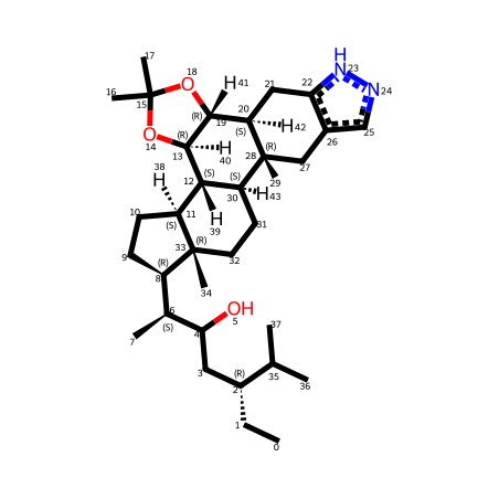 CC[C@H](CC(O)[C@@H](C)[C@H]1CC[C@H]2[C@@H]3[C@H]4OC(C)(C)O[C@@H]4[C@H]4Cc5[nH]ncc5C[C@]4(C)[C@H]3CC[C@]12C)C(C)C